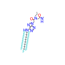 CCCN(CC(=O)NC)C(=O)Cn1cnc2c(NC(F)(F)C(F)(F)C(F)(F)C(F)(F)C(F)(F)C(F)(F)C(F)(F)C(F)(F)F)ncnc21